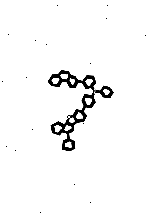 c1ccc(-c2cc3c4ccc(-c5ccc(N(c6ccccc6)c6cccc(-c7ccc8c(ccc9ccccc98)c7)c6)cc5)cc4oc3c3ccccc23)cc1